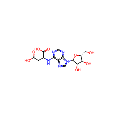 O=C(O)CC(Nc1ncnc2c1ncn2[C@H]1O[C@H](CO)[C@@H](O)[C@H]1O)C(=O)O